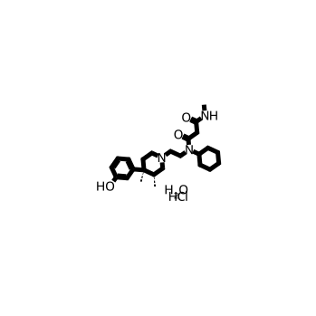 CNC(=O)CC(=O)N(CCN1CC[C@](C)(c2cccc(O)c2)[C@@H](C)C1)C1CCCCC1.Cl.O